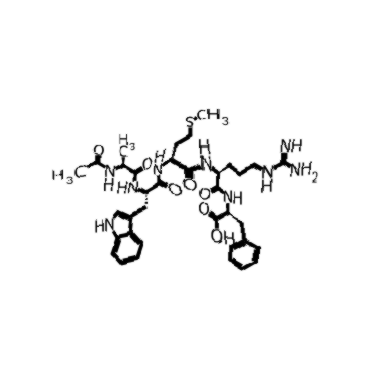 CSCC[C@H](NC(=O)[C@H](Cc1c[nH]c2ccccc12)NC(=O)[C@H](C)NC(C)=O)C(=O)N[C@@H](CCCNC(=N)N)C(=O)N[C@@H](Cc1ccccc1)C(=O)O